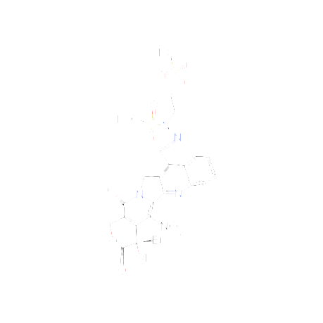 CC[C@@]1(O)C(=O)OCc2c1c([N+](=O)[O-])c1n(c2=O)Cc2c-1nc1ccccc1c2/C=N/N(CCOS(C)(=O)=O)S(C)(=O)=O